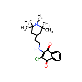 CN1C(C)(C)CC(CCNC2=C(Cl)C(=O)c3ccccc3C2=O)CC1(C)C